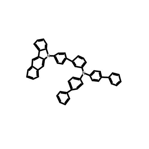 c1ccc(-c2ccc(N(c3ccc(-c4ccccc4)cc3)c3cccc(-c4ccc(-n5c6ccccc6c6cc7ccccc7cc65)cc4)c3)cc2)cc1